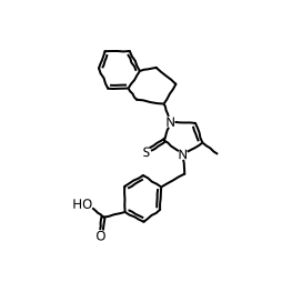 Cc1cn(C2CCc3ccccc3C2)c(=S)n1Cc1ccc(C(=O)O)cc1